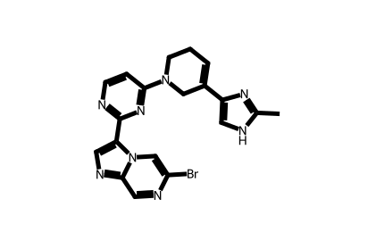 Cc1nc(C2=CCCN(c3ccnc(-c4cnc5cnc(Br)cn45)n3)C2)c[nH]1